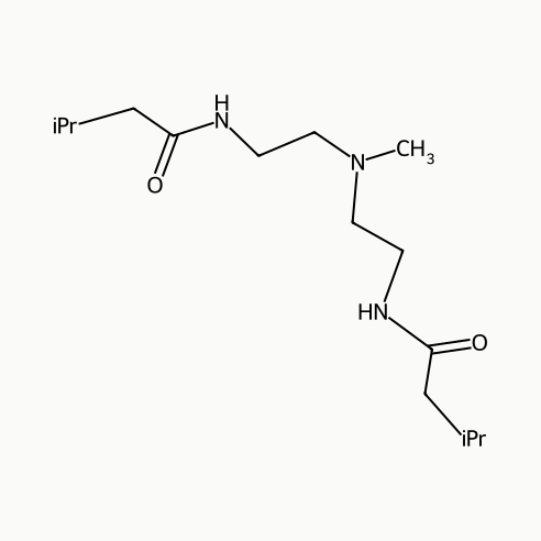 CC(C)CC(=O)NCCN(C)CCNC(=O)CC(C)C